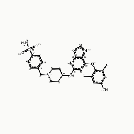 Cc1cc(C#N)cc(C)c1Oc1nc(NC2CCN(Cc3ccc(S(N)(=O)=O)cc3)CC2)nc2scnc12